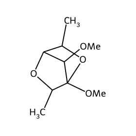 COC1C2OC(C)C1(OC)OC2C